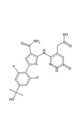 CC(C)(O)c1cc(F)c(-c2cc(C(N)=O)c(Nc3n[nH]c(=O)cc3CC(=O)O)s2)c(F)c1